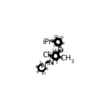 Cc1cc(/N=C/N2CCCCC2)c(Cl)cc1Oc1cccc(C(C)C)c1